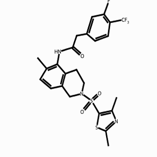 Cc1nc(C)c(S(=O)(=O)N2CCc3c(ccc(C)c3NC(=O)Cc3ccc(C(F)(F)F)c(F)c3)C2)s1